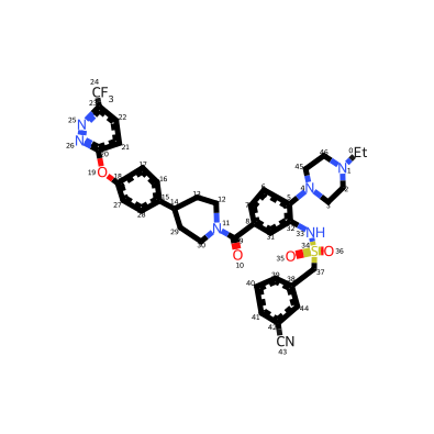 CCN1CCN(c2ccc(C(=O)N3CCC(c4ccc(Oc5ccc(C(F)(F)F)nn5)cc4)CC3)cc2NS(=O)(=O)Cc2cccc(C#N)c2)CC1